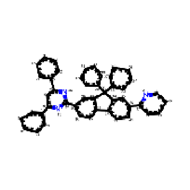 c1ccc(-c2cc(-c3ccccc3)nc(-c3ccc4c(c3)C(c3ccccc3)(c3ccccc3)c3cc(-c5ccccn5)ccc3-4)n2)cc1